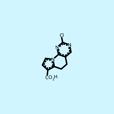 O=C(O)c1ccn2c1CCc1cnc(Cl)nc1-2